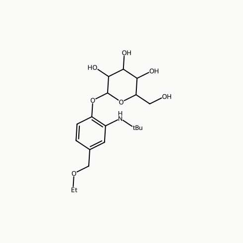 CCOCc1ccc(OC2OC(CO)C(O)C(O)C2O)c(NC(C)(C)C)c1